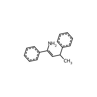 CC(/C=C(\N)c1ccccc1)c1ccccc1